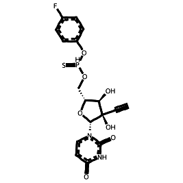 C#C[C@@]1(O)[C@H](O)[C@@H](CO[PH](=S)Oc2ccc(F)cc2)O[C@H]1n1ccc(=O)[nH]c1=O